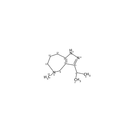 CC(C)c1n[nH]c2c1CN(C)CCC2